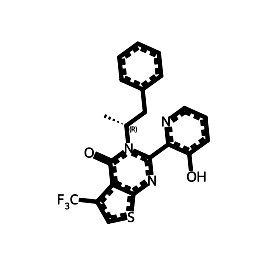 C[C@H](Cc1ccccc1)n1c(-c2ncccc2O)nc2scc(C(F)(F)F)c2c1=O